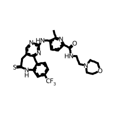 Cc1nc(C(=O)NCCN2CCOCC2)ccc1Nc1ncc2c(n1)-c1ccc(C(F)(F)F)cc1NC(=S)C2